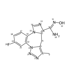 Cc1nnn2c1Cc1c(/C(N)=N/O)ncn1-c1ccc(F)cc1-2